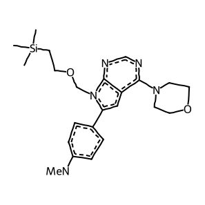 CNc1ccc(-c2cc3c(N4CCOCC4)ncnc3n2COCC[Si](C)(C)C)cc1